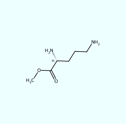 COC(=O)[C@H](N)CCCN